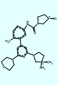 CC[C@@H]1CCN(C(=O)Nc2ccc(C)c(-c3cc(N4CCOCC4)nc(N4CC[C@](C)(N)C4)c3)c2)C1